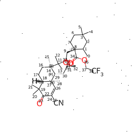 CC1CC(C)(C)CC[C@@]1(CCC(C)(C)[C@]1(C)CC[C@H]2C(C)(C)C(=O)C(C#N)=C[C@]2(C)[C@H]1C[C@H](C)O)C(=O)OCC(F)(F)F